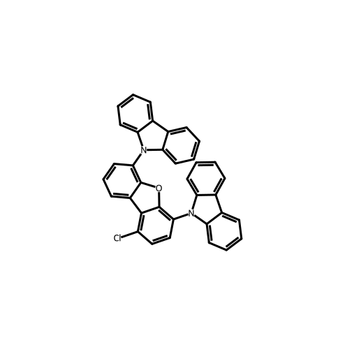 Clc1ccc(-n2c3ccccc3c3ccccc32)c2oc3c(-n4c5ccccc5c5ccccc54)cccc3c12